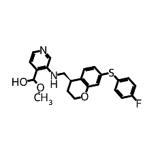 COC(O)c1ccncc1NC[C@@H]1CCOc2cc(Sc3ccc(F)cc3)ccc21